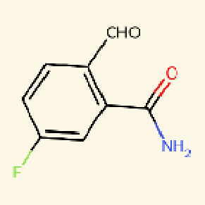 NC(=O)c1cc(F)ccc1C=O